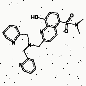 CN(C)S(=O)(=O)c1ccc(O)c2nc(CN(Cc3ccccn3)Cc3ccccn3)ccc12